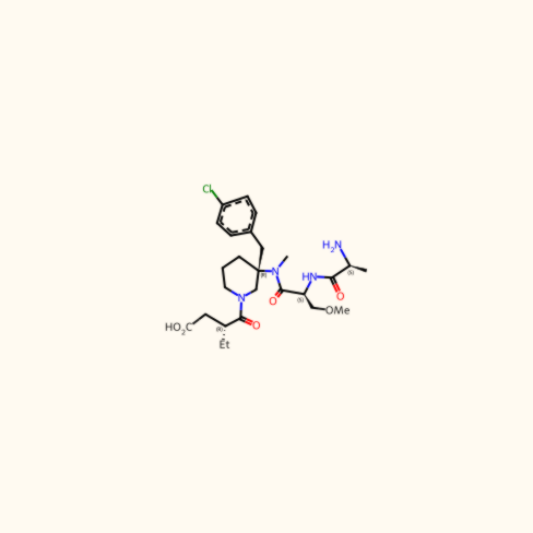 CC[C@H](CC(=O)O)C(=O)N1CCC[C@](Cc2ccc(Cl)cc2)(N(C)C(=O)[C@H](COC)NC(=O)[C@H](C)N)C1